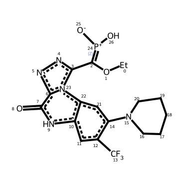 CCO/C(c1nnc2c(=O)[nH]c3cc(C(F)(F)F)c(N4CCCCC4)cc3n12)=[P+](/[O-])O